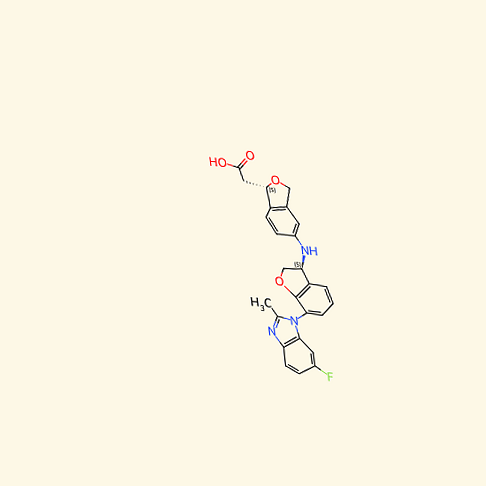 Cc1nc2ccc(F)cc2n1-c1cccc2c1OC[C@H]2Nc1ccc2c(c1)CO[C@H]2CC(=O)O